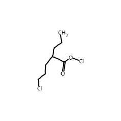 CCCC(CCCCl)C(=O)OCl